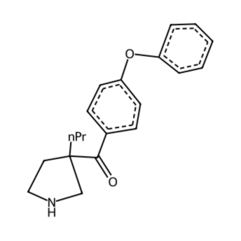 CCCC1(C(=O)c2ccc(Oc3ccccc3)cc2)CCNC1